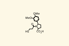 COc1ccc(C2CCC(C(=O)O)N2C(=O)CCS)cc1OC